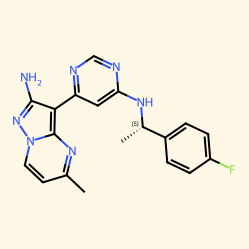 Cc1ccn2nc(N)c(-c3cc(N[C@@H](C)c4ccc(F)cc4)ncn3)c2n1